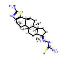 C[C@]12CCc3nc(N)sc3C1=CC[C@@H]1[C@@H]2CC[C@]2(C)/C(=N/NC(N)=S)CC[C@@H]12